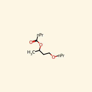 CCCOCCC(C)OC(=O)CCC